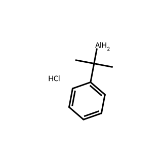 C[C](C)([AlH2])c1ccccc1.Cl